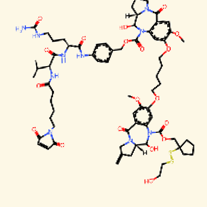 C=C1C[C@H]2C(O)N(C(=O)OCc3ccc(NC(=O)[C@H](CCCNC(N)=O)NC(=O)[C@@H](NC(=O)CCCCCN4C(=O)C=CC4=O)C(C)C)cc3)c3cc(OCCCCCOc4cc5c(cc4OC)C(=O)N4CC(=C)C[C@H]4C(O)N5C(=O)OCC4(SSCCO)CCCC4)c(OC)cc3C(=O)N2C1